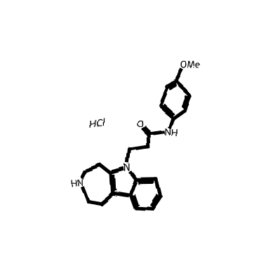 COc1ccc(NC(=O)CCn2c3c(c4ccccc42)CCNCC3)cc1.Cl